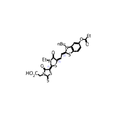 CCCCN1/C(=C/C=c2/s/c(=C3\SC(=S)N(CC(=O)O)C3=O)n(CC)c2=O)Sc2ccc(OC(=O)CC)cc21